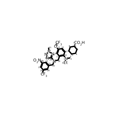 CCN(C[C@H]1CC[C@H](C(=O)O)CC1)c1ccc(OC(F)(F)F)cc1CN(Cc1cc([N+](=O)[O-])cc(C(F)(F)F)c1)c1nnn(C)n1